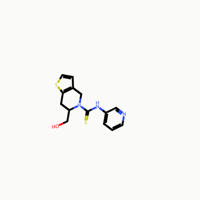 OCC1Cc2sccc2CN1C(=S)Nc1cccnc1